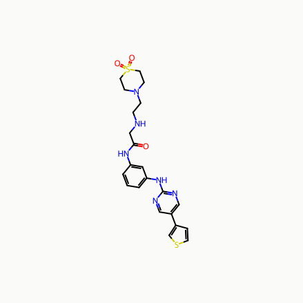 O=C(CNCCN1CCS(=O)(=O)CC1)Nc1cccc(Nc2ncc(-c3ccsc3)cn2)c1